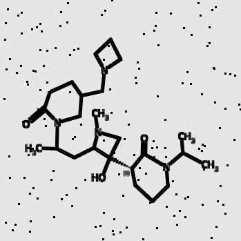 CC(C)N1CCC[C@H](C2(O)CN(C)C2CC(C)N2CC(CN3CCC3)CCC2=O)C1=O